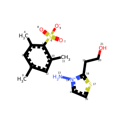 Cc1cc(C)c(S(=O)(=O)[O-])c(C)c1.N[n+]1ccsc1CCO